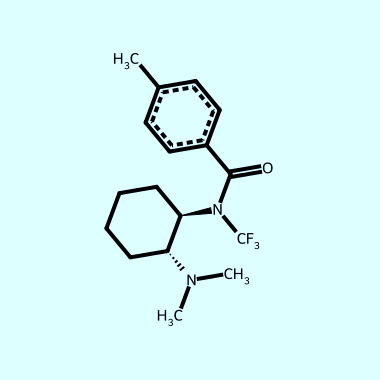 Cc1ccc(C(=O)N([C@@H]2CCCC[C@H]2N(C)C)C(F)(F)F)cc1